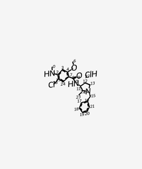 CNc1cc(OC)c(C(=O)N[C@H]2CCN(Cc3ccccc3)[C@H]2C)cc1Cl.Cl